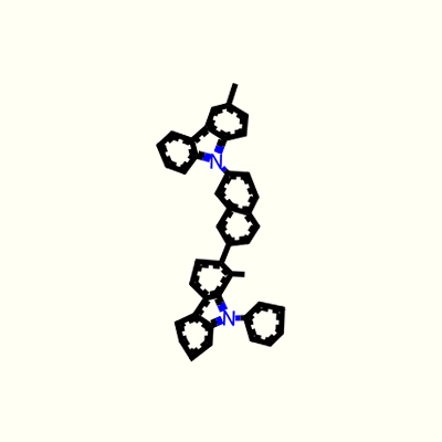 Cc1ccc2c(c1)c1ccccc1n2-c1ccc2ccc(-c3ccc4c5ccccc5n(-c5ccccc5)c4c3C)cc2c1